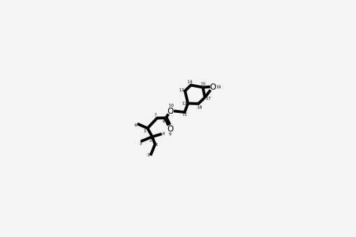 CCC(C)(C)C(C)CC(=O)OCC1CCC2OC2C1